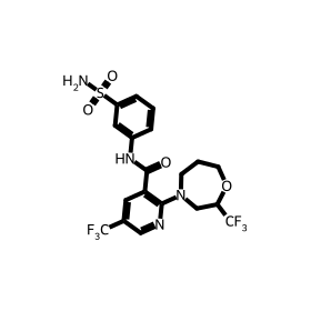 NS(=O)(=O)c1cccc(NC(=O)c2cc(C(F)(F)F)cnc2N2CCCOC(C(F)(F)F)C2)c1